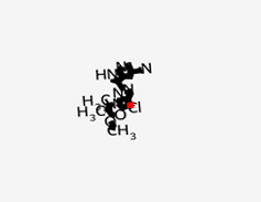 CCOC(=O)[C@H](C)[C@@H](C)n1cc(Cl)c2cnc(-c3c[nH]c4ncc(C#N)cc34)nc21